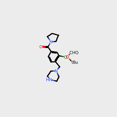 CC(C)(C)OC=O.O=C(c1ccc(CN2CCNCC2)c(Cl)c1)N1CCCC1